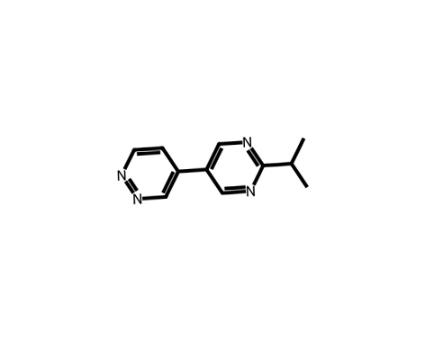 CC(C)c1ncc(-c2ccnnc2)cn1